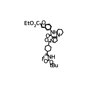 CCOC(=O)c1cc2cc(NC(=O)[C@H]3[C@@H](N4CCCCC4)CCN3C(=O)C3CCC([C@@H](CF)NC(=O)OC(C)(C)C)CC3)ccc2o1